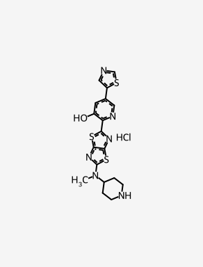 CN(c1nc2sc(-c3ncc(-c4cncs4)cc3O)nc2s1)C1CCNCC1.Cl